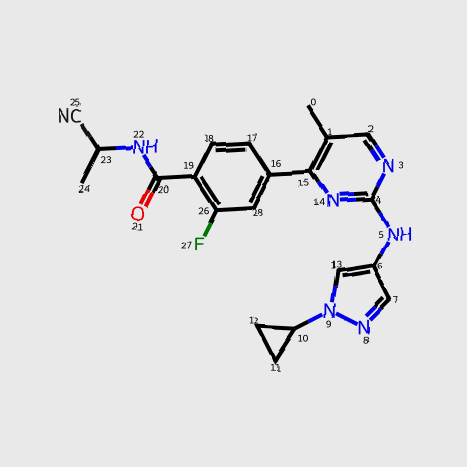 Cc1cnc(Nc2cnn(C3CC3)c2)nc1-c1ccc(C(=O)NC(C)C#N)c(F)c1